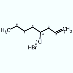 Br.C=CCC(Cl)CCCC